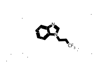 FC(F)(F)CCn1cnc2ccccc21